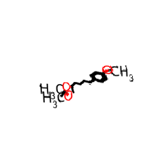 COc1ccc([CH]CCCC2COC(C)(C)O2)cc1